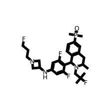 CC1Cc2cc(P(C)(C)=O)ccc2C(c2c(F)cc(NC3CN(CCCF)C3)cc2F)N1CC(C)(C)F